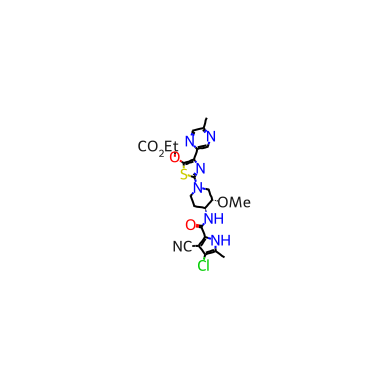 CCOC(=O)Oc1sc(N2CC[C@@H](NC(=O)c3[nH]c(C)c(Cl)c3C#N)[C@@H](OC)C2)nc1-c1cnc(C)cn1